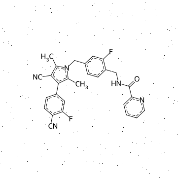 Cc1c(C#N)c(-c2ccc(C#N)c(F)c2)c(C)n1Cc1ccc(CNC(=O)c2ccccn2)c(F)c1